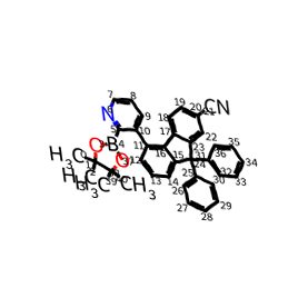 CC1(C)OB(c2ncccc2-c2cccc3c2-c2ccc(C#N)cc2C3(c2ccccc2)c2ccccc2)OC1(C)C